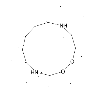 [CH]1CCNCCOOCNCC1